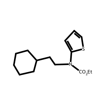 CCOC(=O)N(CCC1CCCCC1)c1cccs1